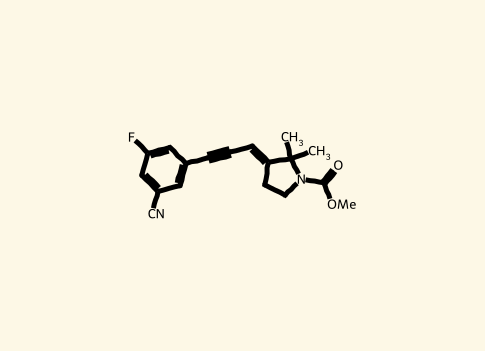 COC(=O)N1CC/C(=C\C#Cc2cc(F)cc(C#N)c2)C1(C)C